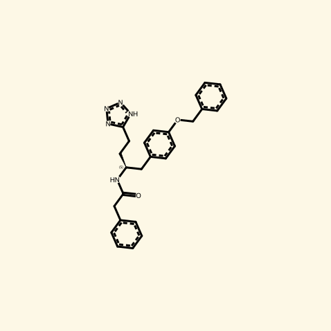 O=C(Cc1ccccc1)N[C@@H](CCc1nnn[nH]1)Cc1ccc(OCc2ccccc2)cc1